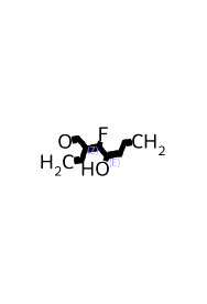 C=C/C=C(O)\C(F)=C(/C=C)C=O